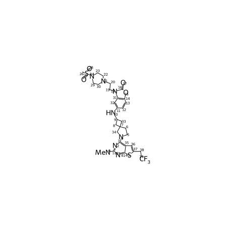 CNc1nc(N2CCC3(CC(Nc4ccc5oc(=O)n(CCN6CCN(S(C)(=O)=O)CC6)c5c4)C3)C2)c2cc(CC(F)(F)F)sc2n1